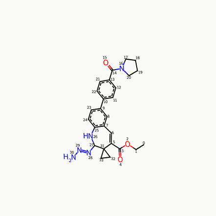 CCOC(=O)C1=Cc2cc(-c3ccc(C(=O)N4CCCC4)cc3)ccc2NC(N=NN)C12CC2